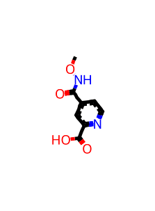 CONC(=O)c1ccnc(C(=O)O)c1